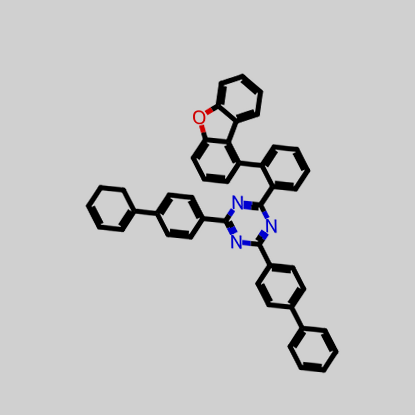 C1=CCCC(c2ccc(-c3nc(-c4ccc(-c5ccccc5)cc4)nc(-c4ccccc4-c4cccc5oc6ccccc6c45)n3)cc2)=C1